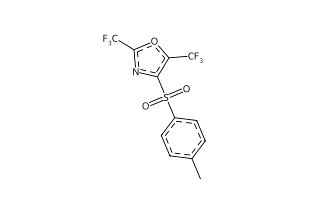 Cc1ccc(S(=O)(=O)c2nc(C(F)(F)F)oc2C(F)(F)F)cc1